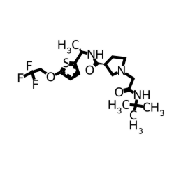 C[C@@H](NC(=O)[C@H]1CCN(CC(=O)NC(C)(C)C)C1)c1ccc(OCC(F)(F)F)s1